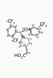 C[C@H](c1cc(C(F)(F)F)ccc1C(F)(F)F)N1CCC(=CC(=O)O)C[C@H]1c1ccc(C(F)(F)F)cc1